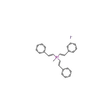 C[P+](C=Cc1ccccc1)(C=Cc1ccccc1)C=Cc1ccccc1.[I-]